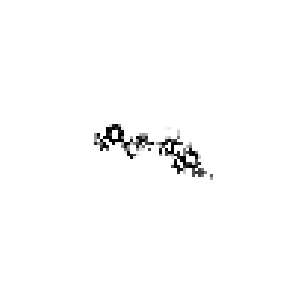 C[C@@]1(O)[C@H](O)[C@@H](COP2(=O)OCC[C@@H](c3cccc(S(C)(=O)=O)c3)O2)O[C@H]1n1cnc2c(N)ncnc21